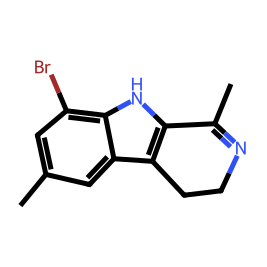 CC1=NCCc2c1[nH]c1c(Br)cc(C)cc21